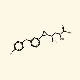 Cc1ccc(Oc2cccc(C3CC3C(C)CN(O)C(N)=O)c2)cc1